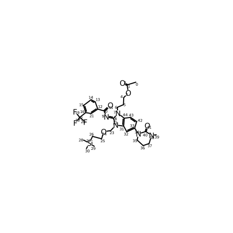 CC(=O)OCCCn1c(=NC(=O)c2cccc(C(F)(F)F)c2)n(COCC[Si](C)(C)C)c2cc(N3CCCN(C)C3=O)ccc21